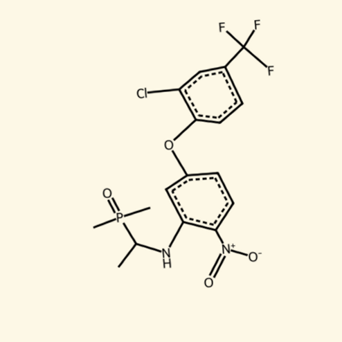 CC(Nc1cc(Oc2ccc(C(F)(F)F)cc2Cl)ccc1[N+](=O)[O-])P(C)(C)=O